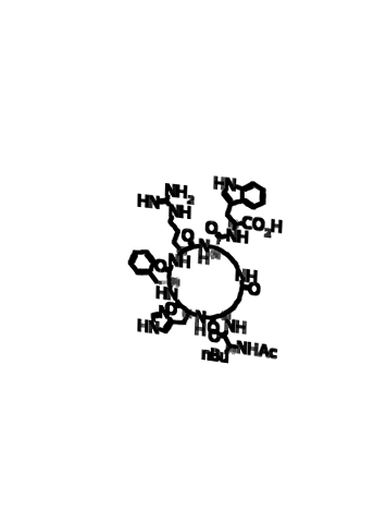 CCCC[C@H](NC(C)=O)C(=O)N[C@H]1CCC(=O)NCC[C@@H](C(=O)N[C@@H](Cc2c[nH]c3ccccc23)C(=O)O)NC(=O)[C@H](CCCNC(=N)N)NC(=O)[C@@H](Cc2ccccc2)NC(=O)[C@H](Cc2c[nH]cn2)NC1=O